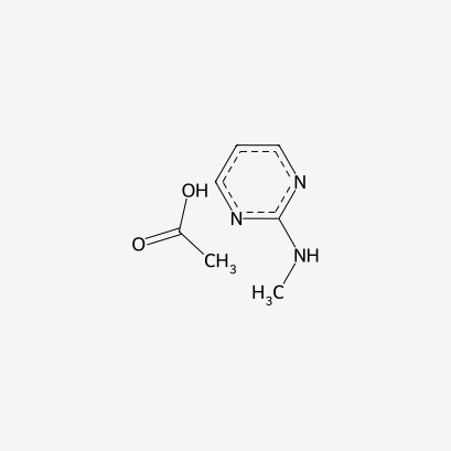 CC(=O)O.CNc1ncccn1